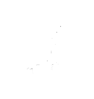 C=C(C)C(=O)OC(OCCCC(F)(F)C(F)(F)S(=O)(=O)O)(C(=O)N(C)C)C(F)(F)F